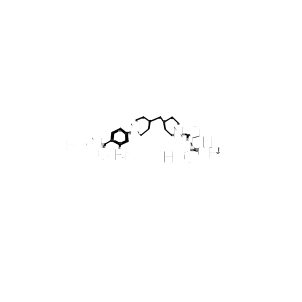 COC(=O)c1ccc(N2CCC(CC3CCN(C(=O)OC(C)(C)C)CC3)CC2)cc1Br